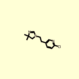 CC1(C)CN(CCc2ccc(Cl)nc2)C=N1